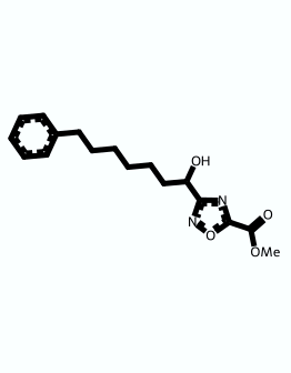 COC(=O)c1nc(C(O)CCCCCCc2ccccc2)no1